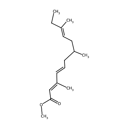 CC/C(C)=C/CC(C)C/C=C/C(C)=C/C(=O)OC